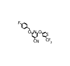 N#Cc1cc(OCc2ccc(F)cc2)nc(Oc2csc(C(F)(F)F)c2)c1